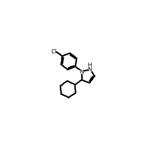 Clc1ccc(N2NC=CC2C2CCCCC2)cc1